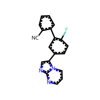 N#Cc1ccccc1-c1cc(-c2cnc3ncccn23)ccc1F